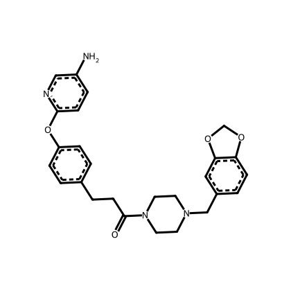 Nc1ccc(Oc2ccc(CCC(=O)N3CCN(Cc4ccc5c(c4)OCO5)CC3)cc2)nc1